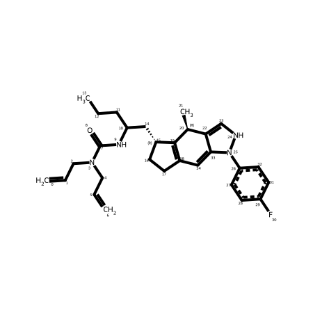 C=CCN(CC=C)C(=O)NC(CCC)C[C@H]1CCC2=C1[C@@H](C)C1=CNN(c3ccc(F)cc3)C1=C2